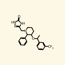 CC(OC1CCCN(Cc2n[nH]c(=O)[nH]2)C1c1ccccc1)c1cccc(C(F)(F)F)c1